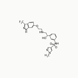 Cn1cc(S(=O)(=O)Nc2cccc(C(O)CNCCOc3ccc4c(C(F)(F)F)n[nH]c4c3)c2)cn1